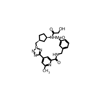 COc1cccc(CNC(=O)c2cc(-c3nnn(C[C@H]4CC[C@@H](NC(=O)CO)C4)n3)cc(C)n2)c1